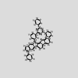 c1ccc(-c2nc(-c3ccccc3)nc(-c3cccc(-n4c5cc6ccn(-c7ccccc7)c6cc5c5ccc6c7ccccc7sc6c54)c3)n2)cc1